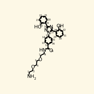 NCCOCCOCCNC(=O)c1ccc(-n2nc(-c3ccccc3O)nc2-c2ccccc2O)cc1